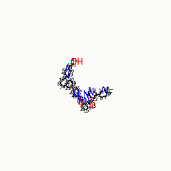 Nc1ncc(-c2ccc(F)nc2)cc1C(=O)N[C@H]1CCC[C@@H]1OCc1ccc(-c2ccc3c(c2)CCC[C@H]3N2CCN(CCO)CC2)cc1